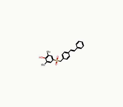 CC(C)(C)c1cc(S(=O)(=O)Cc2ccc(C=Cc3ccccc3)cc2)cc(C(C)(C)C)c1O